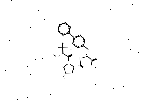 CN[C@H](C(=O)N1C[C@H](O)C[C@H]1C(=O)N[C@H](Cc1ccc(-c2ccccc2)cc1)C(C)=O)C(C)(C)C